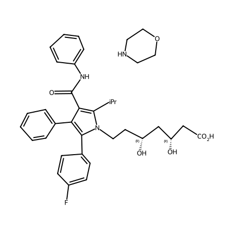 C1COCCN1.CC(C)c1c(C(=O)Nc2ccccc2)c(-c2ccccc2)c(-c2ccc(F)cc2)n1CC[C@@H](O)C[C@@H](O)CC(=O)O